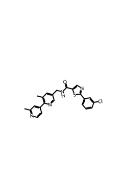 Cc1cc(-c2ncc(CNC(=O)c3cnc(-c4cccc(Cl)c4)s3)cc2C)ccn1